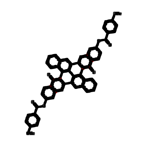 COc1ccc(C(=O)Oc2ccc(C(=O)Oc3c(-c4c(-c5ccccc5)cc5ccccc5c4OC(=O)c4ccc(OC(=O)c5ccc(OC)cc5)cc4)c(-c4ccccc4)cc4ccccc34)cc2)cc1